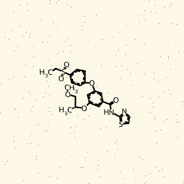 CCS(=O)(=O)c1ccc(Oc2cc(O[C@@H](C)COC)cc(C(=O)Nc3nccs3)c2)cc1